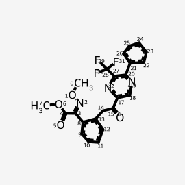 CON=C(C(=O)OC)c1ccccc1CC(=O)c1cnc(-c2ccccc2)c(C(F)(F)F)n1